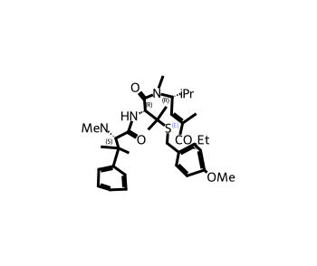 CCOC(=O)/C(C)=C/[C@@H](C(C)C)N(C)C(=O)[C@@H](NC(=O)[C@@H](NC)C(C)(C)c1ccccc1)C(C)(C)SCc1ccc(OC)cc1